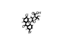 CC(C(=O)Nc1ccc(Br)cc1C(=O)c1ccc(Cl)cc1)N(C(=O)O)C(C)(C)C